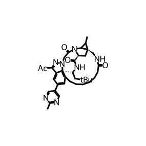 CC(=O)c1nn2c3c(cc(-c4cnc(C)nc4)cc13)CCCCCCC(=O)NC[C@@]13C[C@@H](C(=O)N[C@@H](C)CC(C)(C)C)N(C(=O)C2)C1C3C